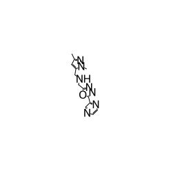 Cc1cc(CNCc2nnc(-c3cnccn3)o2)n(C)n1